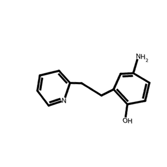 Nc1ccc(O)c(CCc2ccccn2)c1